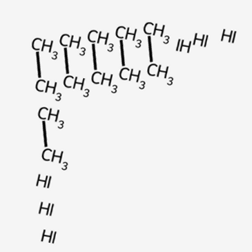 CC.CC.CC.CC.CC.CC.I.I.I.I.I.I